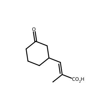 CC(=CC1CCCC(=O)C1)C(=O)O